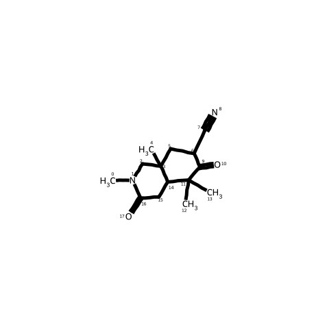 CN1CC2(C)CC(C#N)C(=O)C(C)(C)C2CC1=O